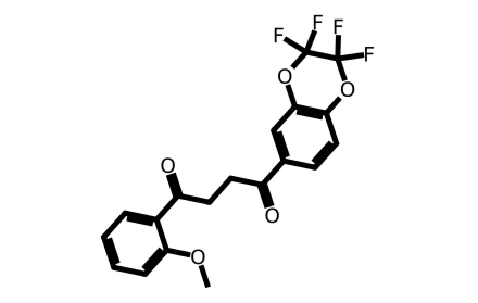 COc1ccccc1C(=O)CCC(=O)c1ccc2c(c1)OC(F)(F)C(F)(F)O2